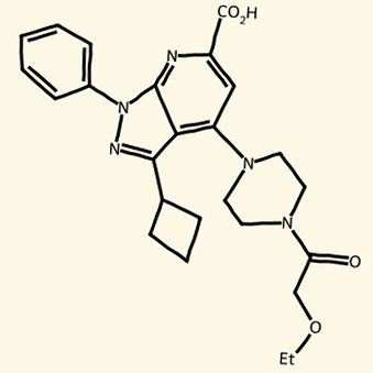 CCOCC(=O)N1CCN(c2cc(C(=O)O)nc3c2c(C2CCC2)nn3-c2ccccc2)CC1